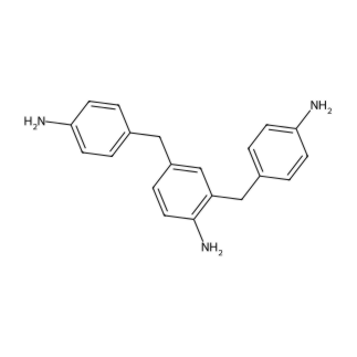 Nc1ccc(Cc2ccc(N)c(Cc3ccc(N)cc3)c2)cc1